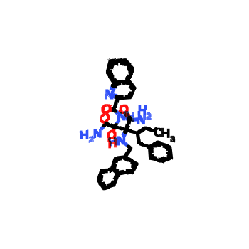 CCC(Cc1ccccc1)C(NCc1ccc2ccccc2c1)(C(N)=O)C(O)(NC(=O)c1ccc2ccccc2n1)C(N)=O